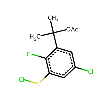 CC(=O)OC(C)(C)c1cc(Cl)cc(SCl)c1Cl